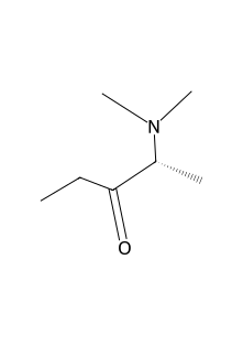 CCC(=O)[C@@H](C)N(C)C